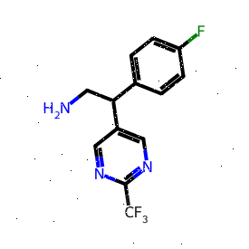 NCC(c1ccc(F)cc1)c1cnc(C(F)(F)F)nc1